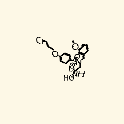 COc1cccc(CN(CC(=O)NO)S(=O)(=O)c2ccc(OCCCCl)cc2)c1